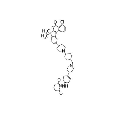 CC1(C)c2ccc(C3CCN(C4CCC(CN5CCC(c6ccc(NN7C(=O)CCCC7=O)cc6)CC5)CC4)CC3)cc2-n2c1nc(=O)c1c(Cl)cccc12